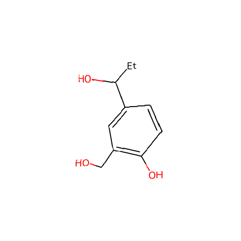 CCC(O)c1ccc(O)c(CO)c1